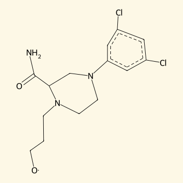 NC(=O)C1CN(c2cc(Cl)cc(Cl)c2)CCN1CCC[O]